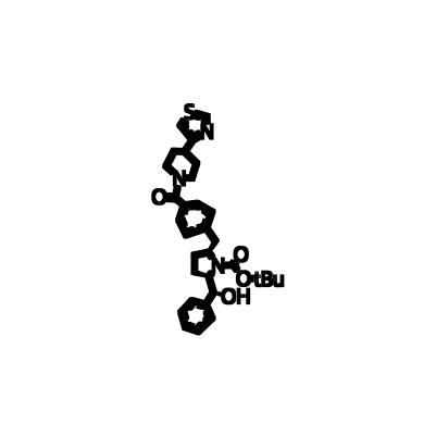 CC(C)(C)OC(=O)N1[C@H](Cc2ccc(C(=O)N3CCC(c4cscn4)CC3)cc2)CC[C@@H]1[C@H](O)c1ccccc1